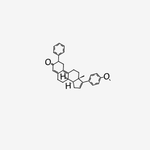 COc1ccc(C2=CC[C@H]3[C@@H]4CCC5=CC(=O)C(c6ccccc6)CC5=C4CC[C@]23C)cc1